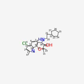 Cc1cc(Cl)c2ccc3c(c2n1)OC(C)(C)C(O)C3NCCC1CCCCC1